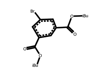 CCC(C)OC(=O)c1cc(Br)cc(C(=O)OC(C)CC)c1